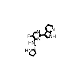 Fc1cnc(-c2c[nH]c3ncccc23)nc1NC[C@@H]1CCCN1